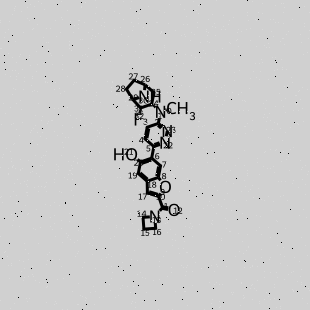 CN(c1ccc(-c2cc3oc(C(=O)N4CCC4)cc3cc2O)nn1)[C@@H]1CC2CCC(N2)[C@@H]1F